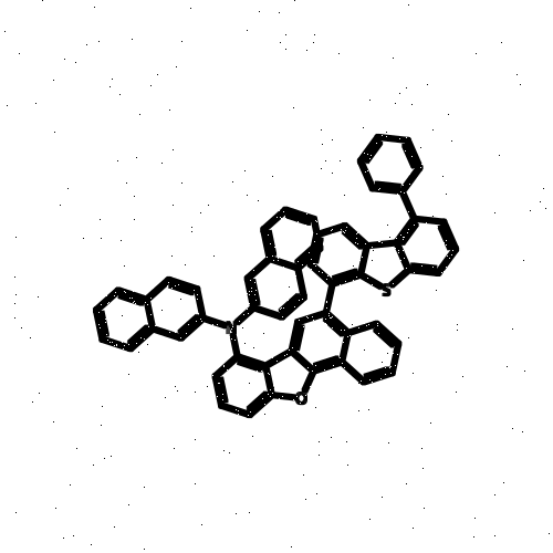 c1ccc(-c2cccc3sc4c(-c5cc6c(oc7cccc(N(c8ccc9ccccc9c8)c8ccc9ccccc9c8)c76)c6ccccc56)cccc4c23)cc1